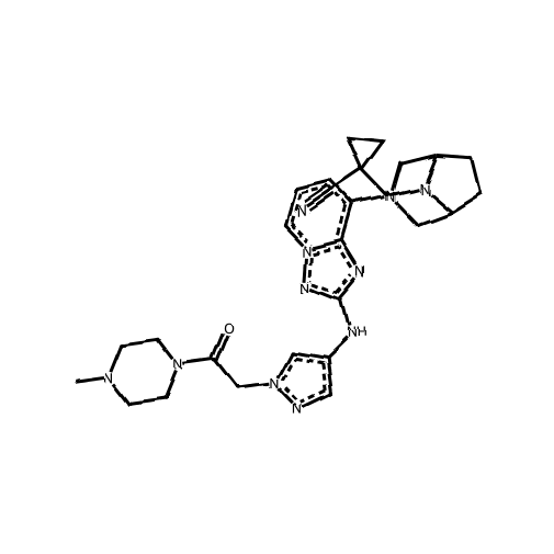 CN1CCN(C(=O)Cn2cc(Nc3nc4c(N5CC6CCC(C5)N6CC5(C#N)CC5)cccn4n3)cn2)CC1